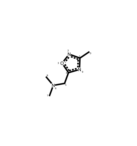 Cc1noc(CN(C)C)n1